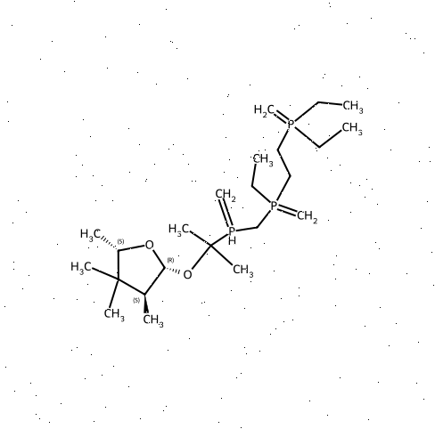 C=[PH](CP(=C)(CC)CCP(=C)(CC)CC)C(C)(C)O[C@H]1O[C@@H](C)C(C)(C)[C@@H]1C